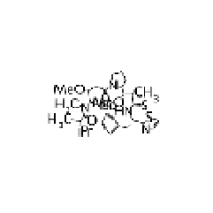 CC[C@H](C)[C@@H]([C@@H](CC(=O)N1CCC[C@H]1[C@H](OC)[C@@H](C)C(=S)N[C@@H](Cc1ccccc1)c1nccs1)OC)N(C)C(=O)[C@@H](C)C(C)C